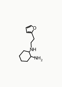 NC1CCCCC1NCCc1ccco1